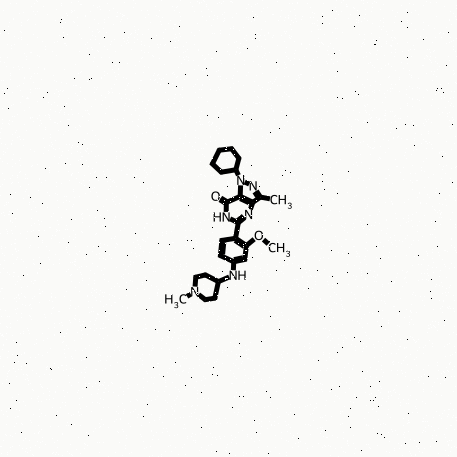 COc1cc(NC2CCN(C)CC2)ccc1-c1nc2c(C)nn(C3CCCCC3)c2c(=O)[nH]1